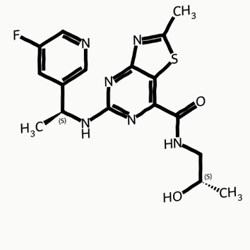 Cc1nc2nc(N[C@@H](C)c3cncc(F)c3)nc(C(=O)NC[C@H](C)O)c2s1